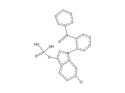 O=C(c1ccccc1)c1ccccc1-n1cc(OP(=O)(O)O)c2ccc(Cl)cc21